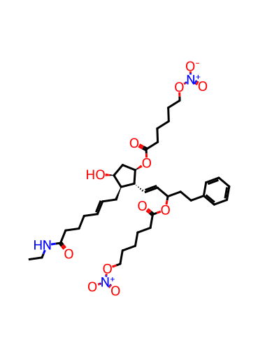 CCNC(=O)CCCC=CC[C@@H]1[C@@H](C=CC(CCc2ccccc2)OC(=O)CCCCCO[N+](=O)[O-])[C@H](OC(=O)CCCCCO[N+](=O)[O-])C[C@@H]1O